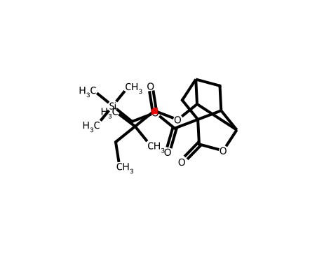 CCC(C)(C)C(=O)OC1C2CC3C1OC(=O)C3(C(=O)OC[Si](C)(C)C)C2